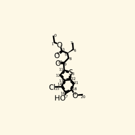 CCOC(=O)[C@@H](CC)CC(=O)c1cc2c(Cl)c(O)c(OC)cc2s1